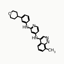 Cc1cccc2c(Nc3ccnc(Nc4cccc(C5CCOCC5)c4)c3)cnnc12